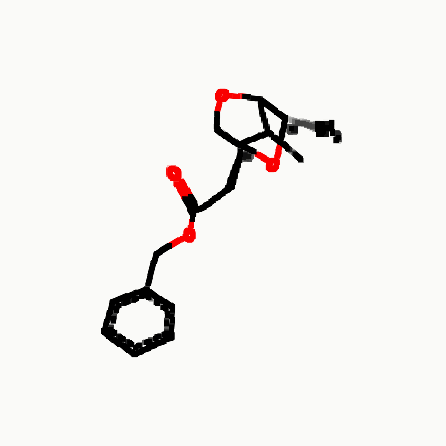 B[C@@H]1O[C@]2(CC(=O)OCc3ccccc3)COC1C2C